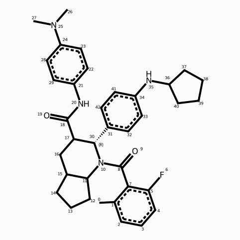 Cc1cccc(F)c1C(=O)N1C2CCCC2CC(C(=O)Nc2ccc(N(C)C)cc2)[C@@H]1c1ccc(NC2CCCC2)cc1